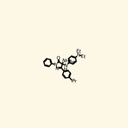 CCN(CC)c1ccc(NC2(NC(C)=O)C(=O)N(c3ccccc3)N=C2c2ccc(C(C)C)cc2)cc1